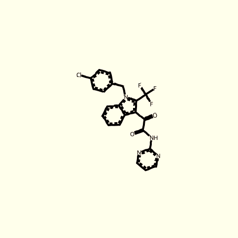 O=C(Nc1ncccn1)C(=O)c1c(C(F)(F)F)n(Cc2ccc(Cl)cc2)c2ccccc12